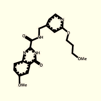 COCCCOc1cc(CNC(=O)c2nc3ccc(OC)cc3c(=O)[nH]2)ccn1